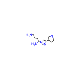 NCCCC(N)n1cnc(-c2cccnc2)c1